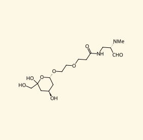 CN[C@H](C=O)CNC(=O)CCOCCO[C@@H]1C[C@@H](O)CC(O)(CO)O1